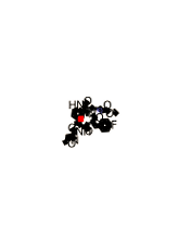 CCOC(=O)/C=C/[C@@H]1C[C@@]2(CN1C(=O)[C@@H](CC(=O)C(NC(=O)c1cc(C)on1)C(C)C)Cc1ccc(F)cc1)C(=O)Nc1ccccc12